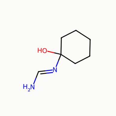 NC=NC1(O)CCCCC1